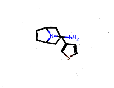 NC1CC2CCC(C1)N2Cc1ccsc1